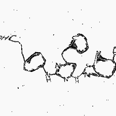 CCc1ccc2nc(Nc3cc(Cc4ccccc4)nc(Nc4ccc(CCC=O)cc4)n3)sc2n1